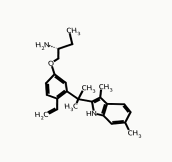 C=Cc1ccc(OC[C@H](N)CC)cc1C(C)(C)c1[nH]c2cc(C)ccc2c1C